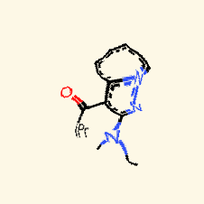 CC(C)C(=O)c1c(N(C)C)nn2ccccc12